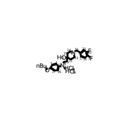 CCCCOc1ccc(N(C)CCC2(O)CCN(Cc3ccc(F)c(F)c3)CC2)cc1.Cl.Cl